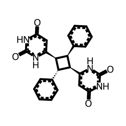 O=c1cc([C@H]2[C@H](c3ccccc3)[C@@H](c3cc(=O)[nH]c(=O)[nH]3)[C@H]2c2ccccc2)[nH]c(=O)[nH]1